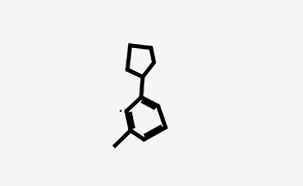 Cc1[c]c(C2CCCC2)ccc1